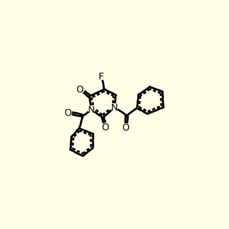 O=C(c1ccccc1)n1cc(F)c(=O)n(C(=O)c2ccccc2)c1=O